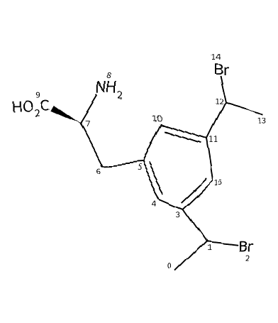 CC(Br)c1cc(C[C@H](N)C(=O)O)cc(C(C)Br)c1